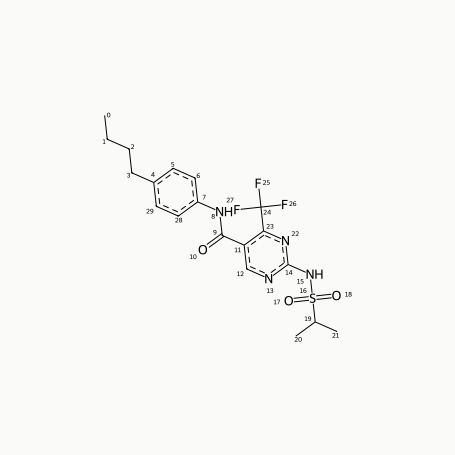 CCCCc1ccc(NC(=O)c2cnc(NS(=O)(=O)C(C)C)nc2C(F)(F)F)cc1